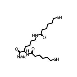 CNC(=O)C(CCCCNC(=O)CCCCCS)NC(=O)CCCCCS